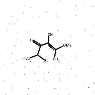 CCCCC(CC)C(=O)C(C#N)=C(C)OC